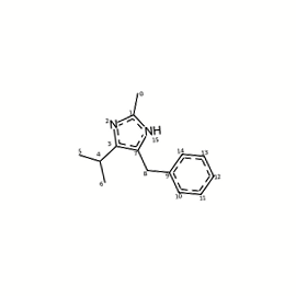 Cc1nc(C(C)C)c(Cc2ccccc2)[nH]1